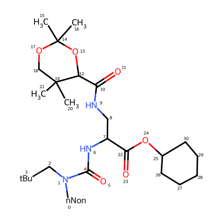 CCCCCCCCCN(CC(C)(C)C)C(=O)NC(CNC(=O)C1OC(C)(C)OCC1(C)C)C(=O)OC1CCCCC1